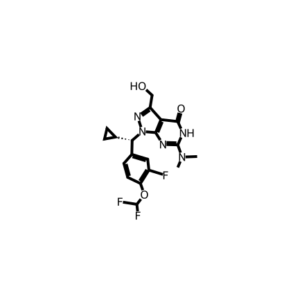 CN(C)c1nc2c(c(CO)nn2[C@H](c2ccc(OC(F)F)c(F)c2)C2CC2)c(=O)[nH]1